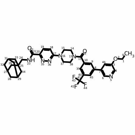 CCOc1cncc(-c2cc(C(=O)N3CCN(c4ccc(C(=O)NCC56CC7CC(CC(C7)C5)C6)nn4)CC3)cc(C(F)(F)F)c2)c1